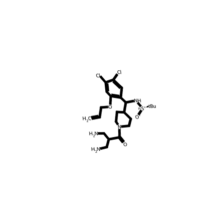 C=CCOc1cc(Cl)c(Cl)cc1C(N[S@@+]([O-])C(C)(C)C)C1CCN(C(=O)C(CN)CN)CC1